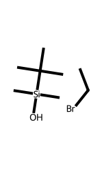 CC(C)(C)[Si](C)(C)O.CCBr